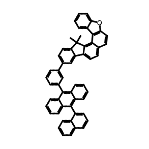 CC1(C)c2ccc(-c3cccc(-c4c5ccccc5c(-c5cccc6ccccc56)c5ccccc45)c3)cc2-c2ccc3ccc4oc5ccccc5c4c3c21